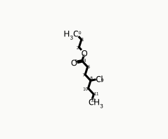 CCCOC(=O)CCC(Cl)CCC